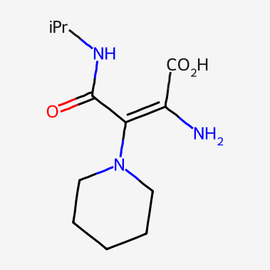 CC(C)NC(=O)/C(=C(/N)C(=O)O)N1CCCCC1